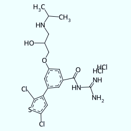 CC(C)NCC(O)COc1cc(C(=O)NC(=N)N)cc(-c2cc(Cl)sc2Cl)c1.Cl.Cl